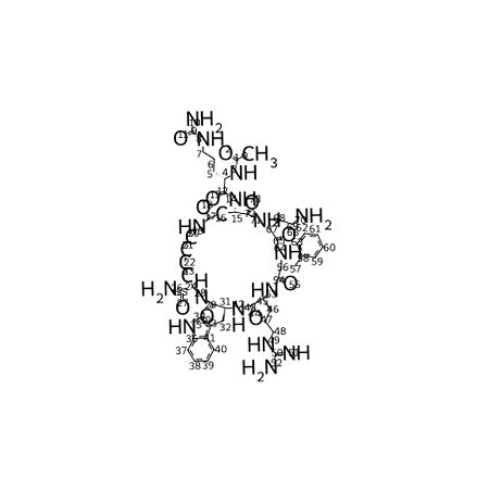 CC(=O)N[C@@H](CCCNC(N)=O)C(=O)N[C@H]1CC(=O)NCCCC[C@@H](C(N)=O)NC(=O)[C@H](Cc2c[nH]c3ccccc23)NC(=O)[C@H](CCCNC(=N)N)NC(=O)[C@@H](Cc2ccccc2)NC(=O)[C@H](CCN)NC1=O